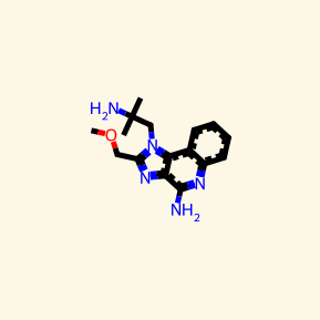 COCc1nc2c(N)nc3ccccc3c2n1CC(C)(C)N